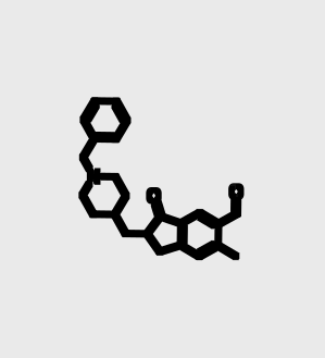 Cc1cc2c(cc1C=O)C(=O)C(CC1CCN(Cc3ccccc3)CC1)C2